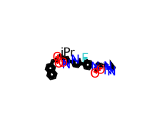 CC(C)C(OC(=O)Cc1ccc2ccccc2c1)C1CC(c2ccc(-c3ccc(N4C[C@H](Cn5ccnn5)OC4=O)cc3F)cn2)=NO1